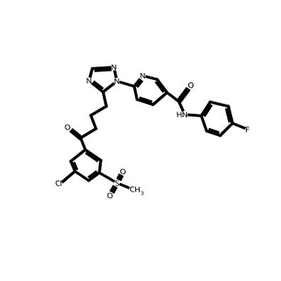 CS(=O)(=O)c1cc(Cl)cc(C(=O)CCCc2ncnn2-c2ccc(C(=O)Nc3ccc(F)cc3)cn2)c1